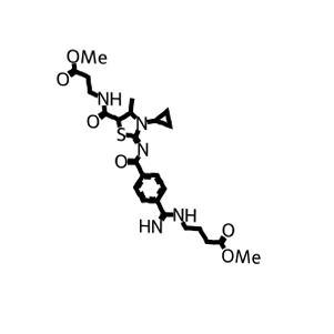 COC(=O)CCCNC(=N)c1ccc(C(=O)N=C2SC(C(=O)NCCC(=O)OC)C(C)N2C2CC2)cc1